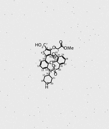 COC(=O)COc1c(C(=O)O)sc(-c2cccc(N(C3CCNCC3)S(=O)(=O)Cc3cccc(Cl)c3Cl)c2)c1Br